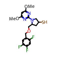 COc1cc(OC)nc(N2CC(S)CC2COCc2cc(F)c(F)cc2F)n1